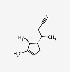 CC1=CC[C@@H](C(C)CC#N)[C@@H]1C